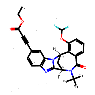 [2H]C([2H])([2H])N1C(=O)c2cccc(OC(F)F)c2[C@H]2C[C@@H]1c1nc3ccc(C#CC(=O)OCC)cc3n12